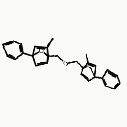 CC1=CC2(c3ccccc3)C=CC1(COCC13C=CC(c4ccccc4)(C=C1C)O3)O2